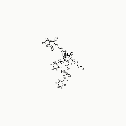 NCCCC(C(=O)NCCCCCN1C(=O)c2ccccc2C1=O)N(CCCNC(=O)OCc1ccccc1)C(=O)OCc1ccccc1